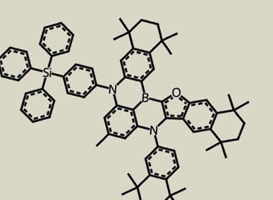 Cc1cc2c3c(c1)N(c1ccc4c(c1)C(C)(C)CCC4(C)C)c1c(oc4cc5c(cc14)C(C)(C)CCC5(C)C)B3c1cc3c(cc1N2c1ccc([Si](c2ccccc2)(c2ccccc2)c2ccccc2)cc1)C(C)(C)CCC3(C)C